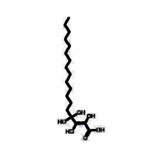 CCCCCCCCCCCCCCC(O)(O)/C(O)=C(\O)C(=O)O